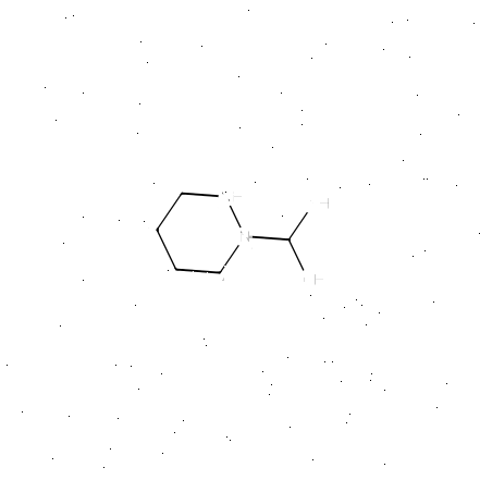 CC(S)N1CCCCN1